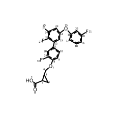 O=C(O)C1CC1COc1ccc(-c2cc(Oc3cccc(F)c3)cc(F)c2F)cc1F